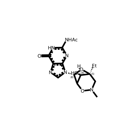 CC[C@@]12CN(C)OC([C@H](n3cnc4c(=O)[nH]c(NC(C)=O)nc43)O1)[C@H]2O